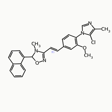 COc1cc(/C=C/C2=NOC(c3cccc4ccccc34)N2C)ccc1-n1cnc(C)c1Cl